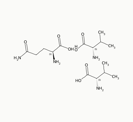 CC(C)[C@H](N)C(=O)O.CC(C)[C@H](N)C(=O)O.NC(=O)CC[C@H](N)C(=O)O